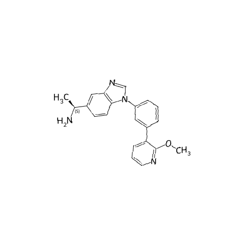 COc1ncccc1-c1cccc(-n2cnc3cc([C@H](C)N)ccc32)c1